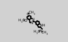 COc1cc(OC)c2cnc(-c3ccc4[nH]c(CN(C)C)cc4c3)nc2c1